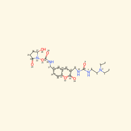 CCN(CC)CCNC(=O)NCc1cc2cc(CNC(=O)ON3C(=O)CCC3O)ccc2oc1=O